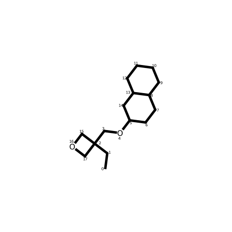 CCC1(COC2CCC3CCCCC3C2)COC1